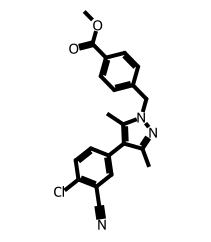 COC(=O)c1ccc(Cn2nc(C)c(-c3ccc(Cl)c(C#N)c3)c2C)cc1